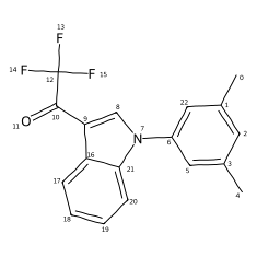 Cc1cc(C)cc(-n2cc(C(=O)C(F)(F)F)c3ccccc32)c1